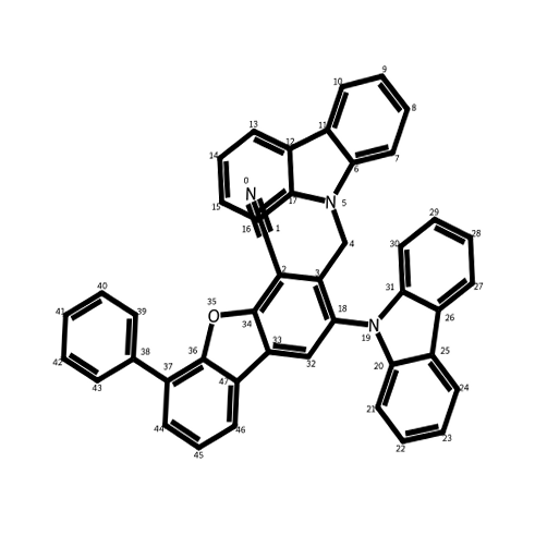 N#Cc1c(Cn2c3ccccc3c3ccccc32)c(-n2c3ccccc3c3ccccc32)cc2c1oc1c(-c3ccccc3)cccc12